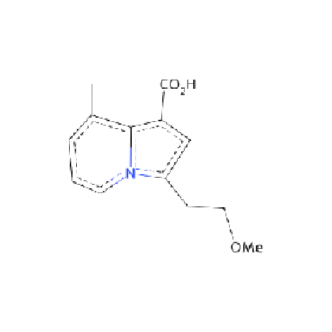 COCCc1cc(C(=O)O)c2c(C)cccn12